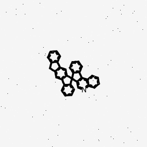 c1ccc2c(c1)Cc1cc3c(cc1-2)C1(c2ccccc2-3)c2ccccc2-c2c1cnc1ccccc21